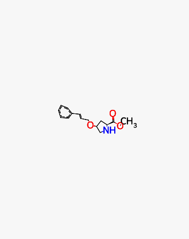 COC(=O)[C@@H]1C[C@H](OC/C=C/c2ccccc2)CN1